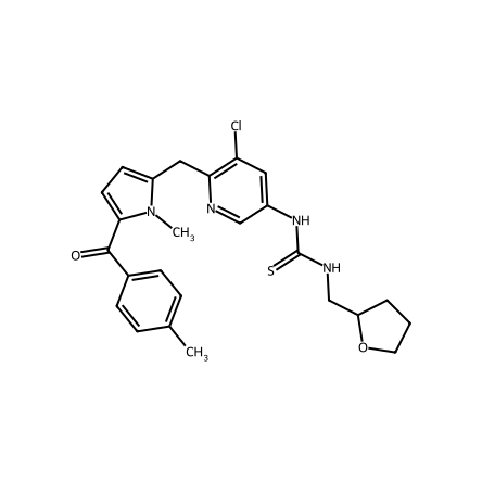 Cc1ccc(C(=O)c2ccc(Cc3ncc(NC(=S)NCC4CCCO4)cc3Cl)n2C)cc1